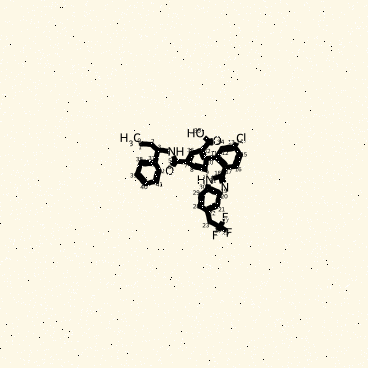 CCCC(NC(=O)c1ccc(-c2cc(Cl)ccc2-c2nc3cc(CC(F)(F)F)ccc3[nH]2)c(C(=O)O)c1)c1ccccc1